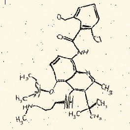 CNCCNc1c(C(C)(C)C)c(C)nc2c(NC(=O)c3c(Cl)cccc3Cl)ccc(O[SiH](C)C)c12